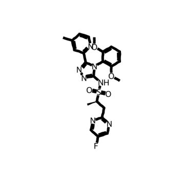 COc1cccc(OC)c1-n1c(NS(=O)(=O)[C@H](C)Cc2ncc(F)cn2)nnc1-c1cc(C)ccn1